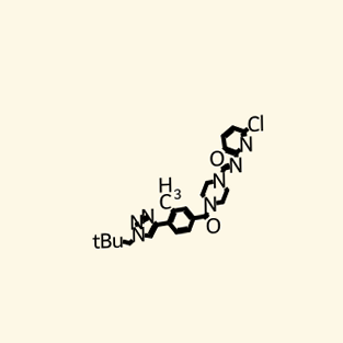 Cc1cc(C(=O)N2CCN(c3nc4nc(Cl)ccc4o3)CC2)ccc1-c1cn(CC(C)(C)C)nn1